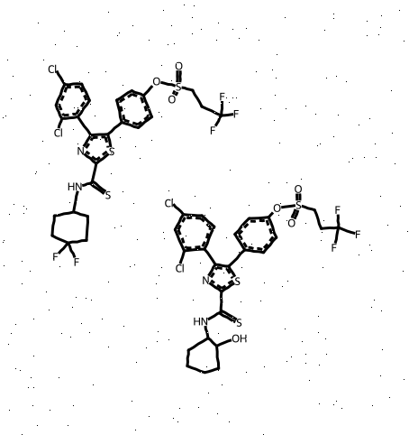 O=S(=O)(CCC(F)(F)F)Oc1ccc(-c2sc(C(=S)NC3CCC(F)(F)CC3)nc2-c2ccc(Cl)cc2Cl)cc1.O=S(=O)(CCC(F)(F)F)Oc1ccc(-c2sc(C(=S)NC3CCCCC3O)nc2-c2ccc(Cl)cc2Cl)cc1